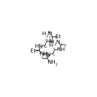 CC(N)NCCNC(C)N.CCC(N)NCCNC(N)CC